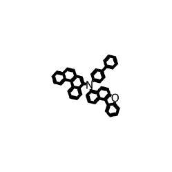 c1ccc(-c2ccc(N(c3cc4ccc5ccccc5c4c4ccccc34)c3cccc4c3ccc3oc5ccccc5c34)cc2)cc1